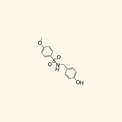 COc1ccc(S(=O)(=O)NCc2ccc(O)cc2)cc1